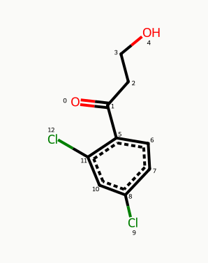 O=C(CCO)c1ccc(Cl)cc1Cl